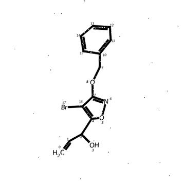 C=CC(O)c1onc(OCc2ccccc2)c1Br